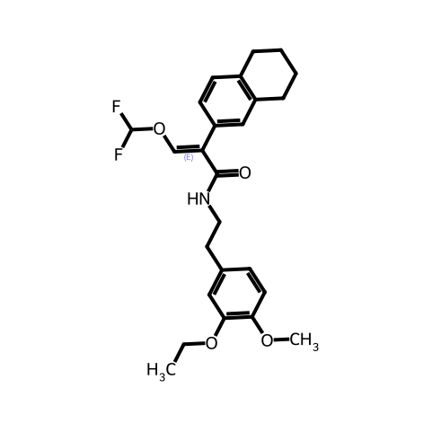 CCOc1cc(CCNC(=O)/C(=C/OC(F)F)c2ccc3c(c2)CCCC3)ccc1OC